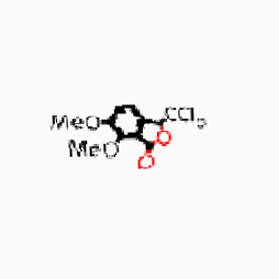 COc1ccc2c(c1OC)C(=O)OC2C(Cl)(Cl)Cl